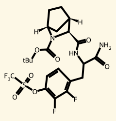 CC(C)(C)OC(=O)N1[C@@H]2CC[C@@H](C2)[C@H]1C(=O)NC(Cc1ccc(OS(=O)(=O)C(F)(F)F)c(F)c1F)C(N)=O